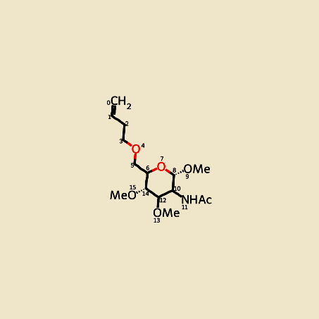 C=CCCOCC1O[C@H](OC)C(NC(C)=O)C(OC)[C@@H]1OC